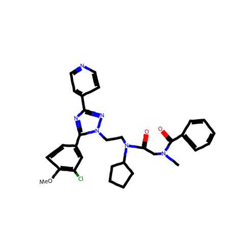 COc1ccc(-c2nc(-c3ccncc3)nn2CCN(C(=O)CN(C)C(=O)c2ccccc2)C2CCCC2)cc1Cl